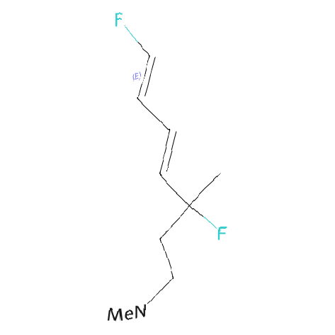 CNCCC(C)(F)C=C/C=C/F